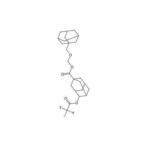 CC(F)(F)C(=O)OC1C2CC3CC1CC(C(=O)OCOCC14CC5CC(CC(C5)C1)C4)(C3)C2